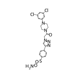 NOOSc1ccc(-c2cn(CC(=O)N3CCN(c4cc(Cl)cc(Cl)c4)CC3)nn2)cc1